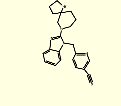 N#Cc1ccc(Cn2c(N3CCCC4(CCCN4)C3)nc3ccccc32)nc1